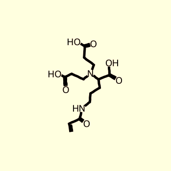 C=CC(=O)NCCCC(C(=O)O)N(CCC(=O)O)CCC(=O)O